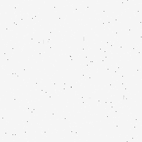 Cc1c(F)c(CC#N)c(F)c(F)c1C#N